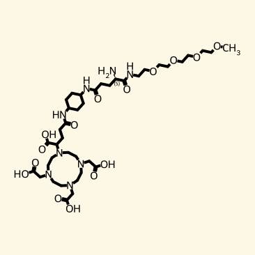 COCCOCCOCCOCCNC(=O)[C@@H](N)CCC(=O)NC1CCC(NC(=O)CCC(C(=O)O)N2CCN(CC(=O)O)CCN(CC(=O)O)CCN(CC(=O)O)CC2)CC1